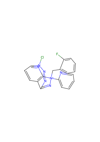 Fc1ccccc1C[N+]1(c2ccccn2)N=C2/N=N\N(Cl)c3ccc2c1n3